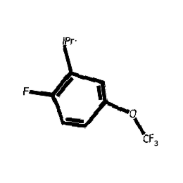 C[C](C)c1cc(OC(F)(F)F)ccc1F